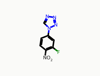 O=[N+]([O-])c1ccc(-n2cnnn2)cc1F